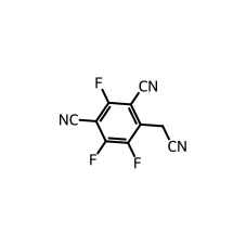 N#CCc1c(F)c(F)c(C#N)c(F)c1C#N